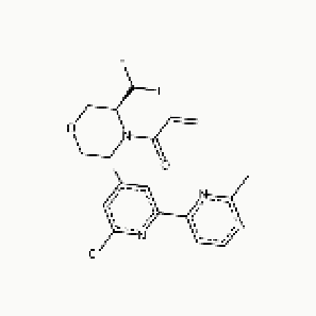 C=CC(=O)N1[C@H](c2cc(Cl)nc(-c3ccnc(C)n3)c2)COC[C@H]1C(F)F